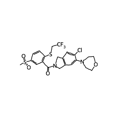 CS(=O)(=O)c1ccc(SCC(F)(F)F)c(C(=O)N2Cc3cc(Cl)c(N4CCOCC4)cc3C2)c1